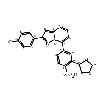 O=C(O)c1ccc(-c2ccnc3cc(-c4ccc(F)cc4)nn23)cc1C1CCCC1